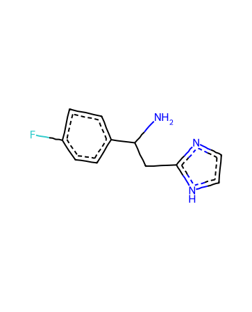 NC(Cc1ncc[nH]1)c1ccc(F)cc1